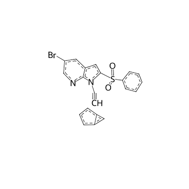 C#Cn1c(S(=O)(=O)c2ccccc2)cc2cc(Br)cnc21.c1cc2cc-2c1